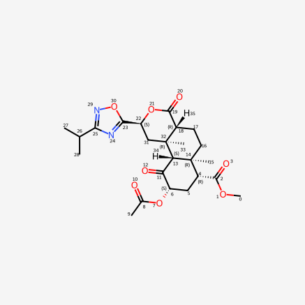 COC(=O)[C@@H]1C[C@H](OC(C)=O)C(=O)[C@H]2[C@@]1(C)CC[C@H]1C(=O)O[C@H](c3nc(C(C)C)no3)C[C@]21C